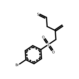 C=C(CC=S)CS(=O)(=O)c1ccc(Br)cc1